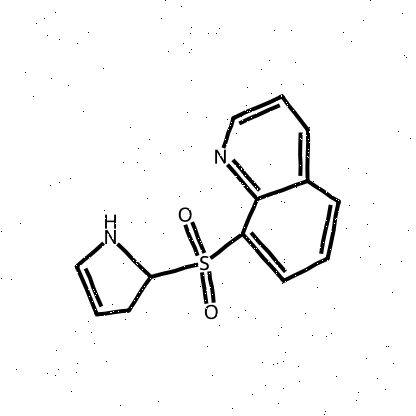 O=S(=O)(c1cccc2cccnc12)C1CC=CN1